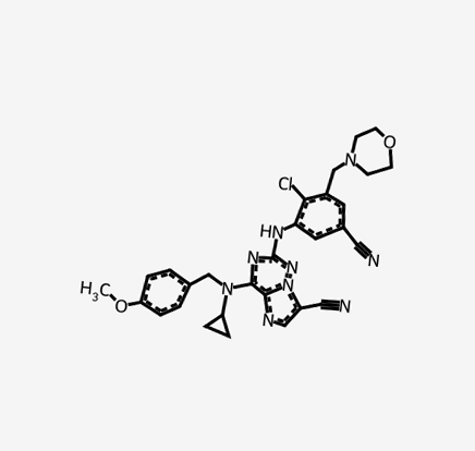 COc1ccc(CN(c2nc(Nc3cc(C#N)cc(CN4CCOCC4)c3Cl)nn3c(C#N)cnc23)C2CC2)cc1